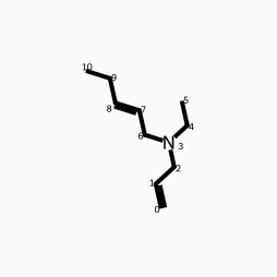 C=CCN(CC)CC=CCC